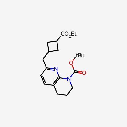 CCOC(=O)C1CC(Cc2ccc3c(n2)N(C(=O)OC(C)(C)C)CCC3)C1